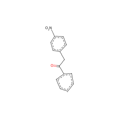 O=C(Cc1ccc([N+](=O)[O-])cc1)c1cc[c]cc1